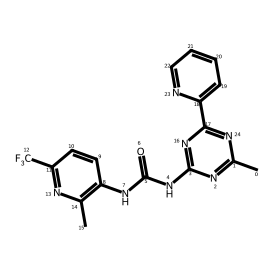 Cc1nc(NC(=O)Nc2ccc(C(F)(F)F)nc2C)nc(-c2ccccn2)n1